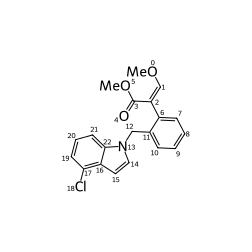 COC=C(C(=O)OC)c1ccccc1Cn1ccc2c(Cl)cccc21